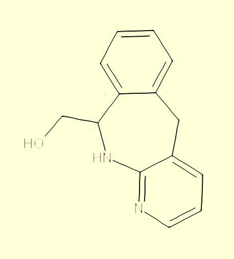 OCC1Nc2ncccc2Cc2ccccc21